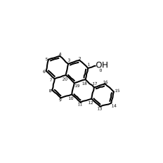 Oc1cc2cccc3ccc4cc5ccccc5c1c4c32